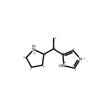 CC(c1cnc[nH]1)C1CCCN1